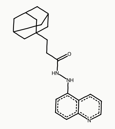 O=C(CCC12CC3CC(CC(C3)C1)C2)NNc1cccc2ncccc12